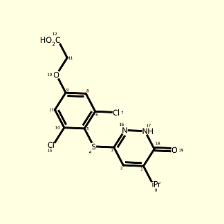 CC(C)c1cc(Sc2c(Cl)cc(OCC(=O)O)cc2Cl)n[nH]c1=O